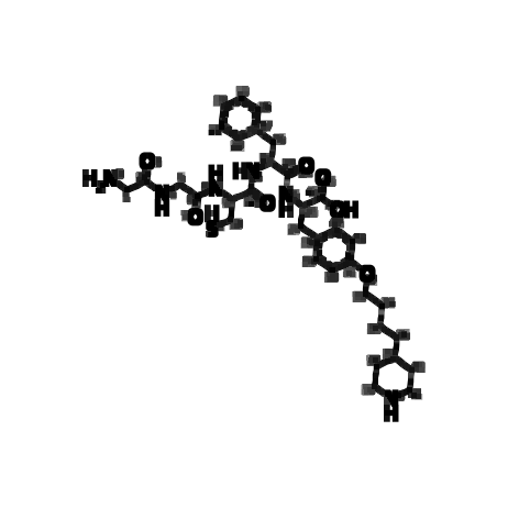 NCC(=O)NCC(=O)NC(CS)C(=O)NC(Cc1ccccc1)C(=O)NC(Cc1ccc(OCCCCC2CCNCC2)cc1)C(=O)O